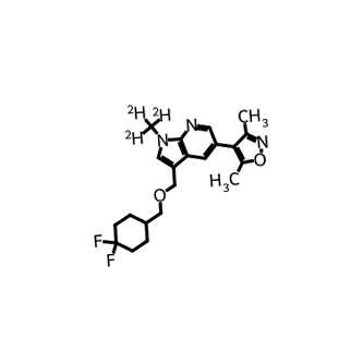 [2H]C([2H])([2H])n1cc(COCC2CCC(F)(F)CC2)c2cc(-c3c(C)noc3C)cnc21